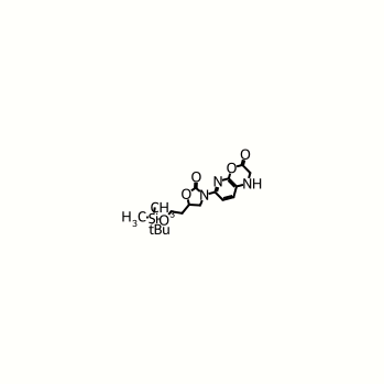 CC(C)(C)[Si](C)(C)OCCC1CN(c2ccc3c(n2)OC(=O)CN3)C(=O)O1